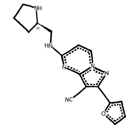 N#Cc1c(-c2ccco2)nn2ccc(NC[C@H]3CCCN3)nc12